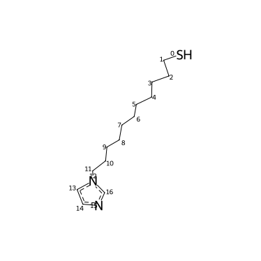 SCCCCCCCCCCCn1ccnc1